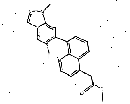 COC(=O)Cc1ccnc2c(-c3cc4c(cnn4C)cc3F)cccc12